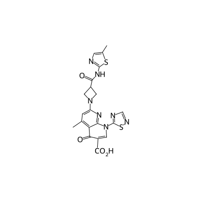 Cc1cnc(NC(=O)C2CN(c3cc(C)c4c(=O)c(C(=O)O)cn(-c5ncns5)c4n3)C2)s1